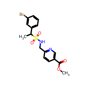 COC(=O)c1ccc(CNS(=O)(=O)C(C)c2cccc(Br)c2)nc1